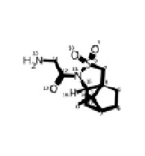 CC1(C)C2CC[C@@]13CS(=O)(=O)N(C(=O)CN)[C@H]3C2